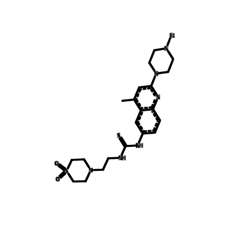 CCN1CCN(c2cc(C)c3cc(NC(=S)NCCN4CCS(=O)(=O)CC4)ccc3n2)CC1